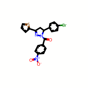 O=C(c1ccc([N+](=O)[O-])cc1)N1N=C(c2cccs2)CC1c1ccc(Br)cc1